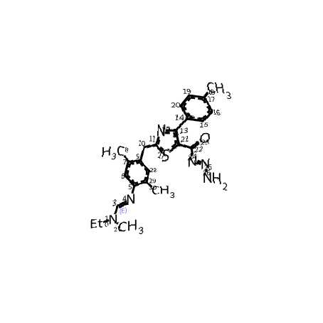 CCN(C)/C=N/c1cc(C)c(Cc2nc(-c3ccc(C)cc3)c(C(=O)N=NN)s2)cc1C